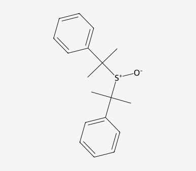 CC(C)(c1ccccc1)[S+]([O-])C(C)(C)c1ccccc1